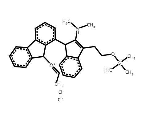 C[CH]=[Zr+2][CH]1c2ccccc2-c2cccc(C3C([SiH](C)C)=C(CCO[Si](C)(C)C)c4ccccc43)c21.[Cl-].[Cl-]